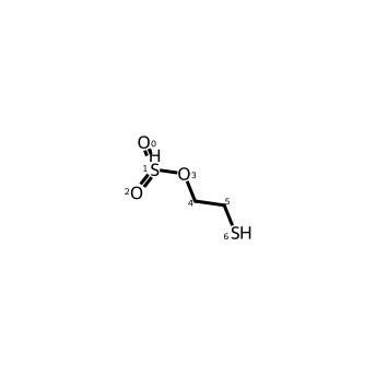 O=[SH](=O)OCCS